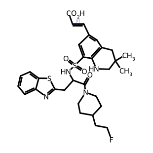 CC1(C)CNc2c(cc(/C=C/C(=O)O)cc2S(=O)(=O)NC(Cc2nc3ccccc3s2)C(=O)N2CCC(CCF)CC2)C1